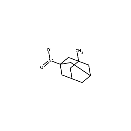 CC12CC3CC(C1)CC([N+](=O)[O-])(C3)C2